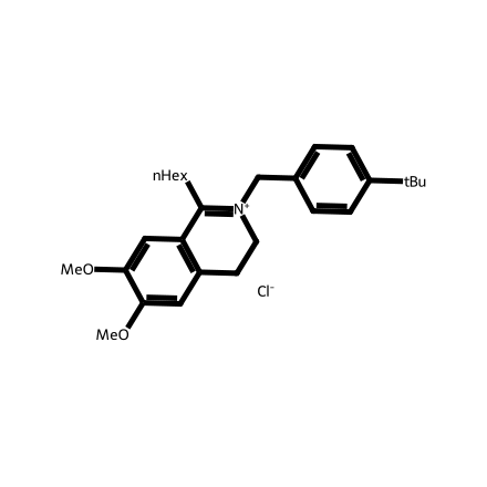 CCCCCCC1=[N+](Cc2ccc(C(C)(C)C)cc2)CCc2cc(OC)c(OC)cc21.[Cl-]